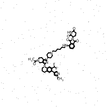 CC(=O)N1CCc2c(c(N3CCCc4cc(-c5cnn(C)c5)c(C(F)F)cc43)nn2C2CCN(CCCCCCNc3cccc4c3C(=O)N(C3CCC(=O)NC3=O)C4=O)CC2)C1